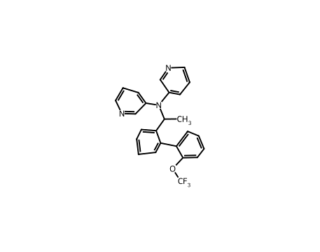 CC(c1ccccc1-c1ccccc1OC(F)(F)F)N(c1cccnc1)c1cccnc1